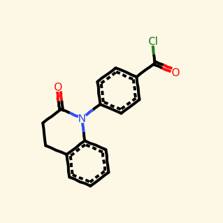 O=C(Cl)c1ccc(N2C(=O)CCc3ccccc32)cc1